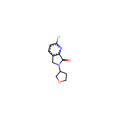 O=C1c2nc(Cl)ccc2CN1C1CCOC1